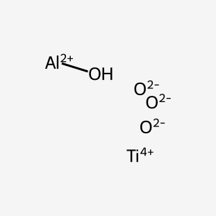 [O-2].[O-2].[O-2].[OH][Al+2].[Ti+4]